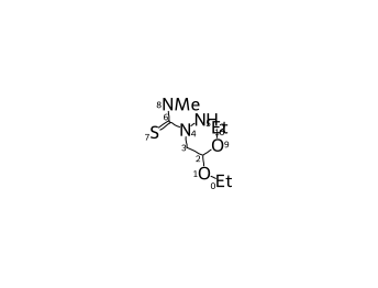 CCOC(CN(N)C(=S)NC)OCC